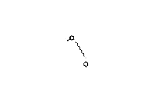 CC1=CCC(S(=O)(=O)OCCCCCCCCCOc2cccc(C(N)=O)c2)C=C1